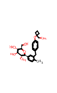 Cc1ccc([C@@H]2O[C@H](CO)[C@@H](O)[C@H](O)[C@H]2O)cc1Cc1ccc(OC2(CO)CCC2)cc1